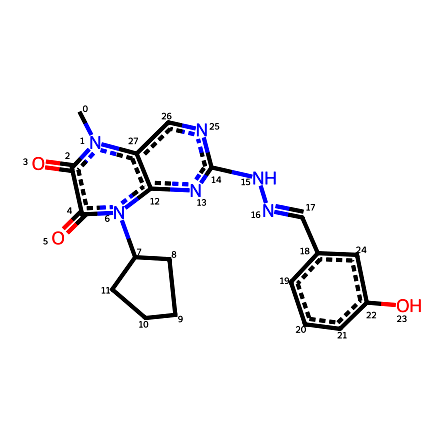 Cn1c(=O)c(=O)n(C2CCCC2)c2nc(N/N=C/c3cccc(O)c3)ncc21